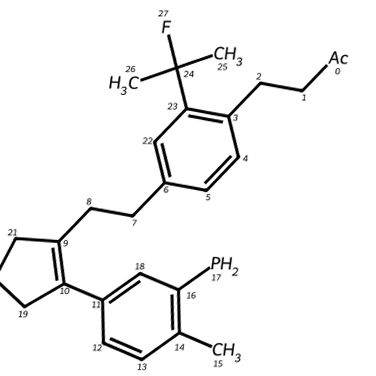 CC(=O)CCc1ccc(CCC2=C(c3ccc(C)c(P)c3)CCC2)cc1C(C)(C)F